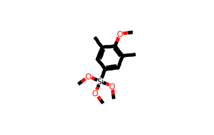 COc1c(C)cc([Si](OC)(OC)OC)cc1C